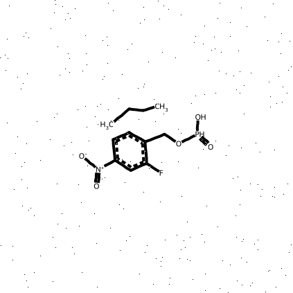 CCCC.O=[N+]([O-])c1ccc(CO[PH](=O)O)c(F)c1